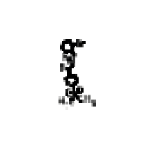 CN(C)S(=O)(=O)c1ccc(C(F)Cn2cc3c(Br)cccc3n2)cc1